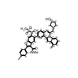 CNC(=O)c1c(-c2ccc(F)cc2)oc2cc(N(C)S(C)(=O)=O)c(-c3ccc4nc(CN5CC[C@@H](O)C5)n5c6cccc(F)c6cc5c4n3)cc12